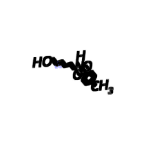 Cc1ccc(S(=O)(=O)NCCC/C=C/CO)cc1